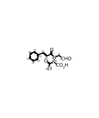 CCC(=O)N(C(=O)O)N(C[C]=O)C(=O)C=Cc1ccccc1